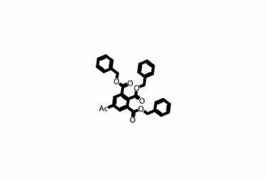 CC(=O)c1cc(C(=O)OCc2ccccc2)c(C(=O)OCc2ccccc2)c(C(=O)OCc2ccccc2)c1